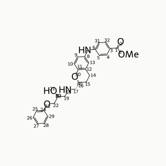 COC(=O)c1ccc(Nc2ccc3c(c2)CC[C@H](CNC[C@H](O)COc2ccccc2)O3)cc1